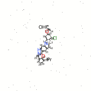 Cc1c(C)n(Cc2cc(Cl)cc(O[C@H](C)C=O)c2)c2ccc(C(=O)N[C@@H](C)c3cccc(C(C)C)c3)cc12